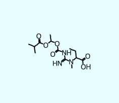 CCC(C(=O)O)N(C)C(=N)NC(=O)OC(C)OC(=O)C(C)C